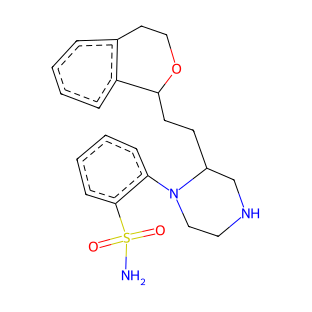 NS(=O)(=O)c1ccccc1N1CCNCC1CCC1OCCc2ccccc21